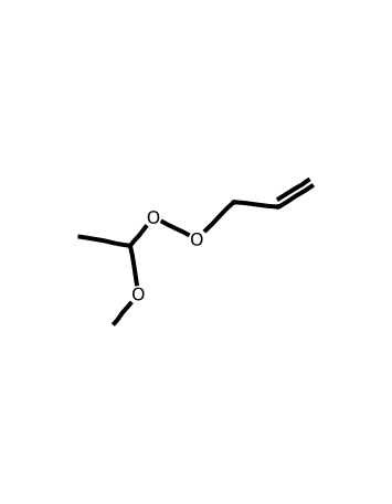 C=CCOOC(C)OC